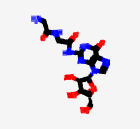 NCC(=O)NCC(=O)Nc1nc2c(ncn2[C@@H]2O[C@H](CO)[C@@H](O)[C@H]2O)c(=O)[nH]1